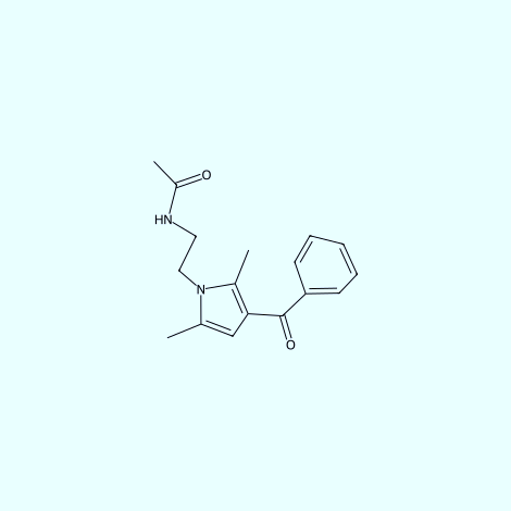 CC(=O)NCCn1c(C)cc(C(=O)c2ccccc2)c1C